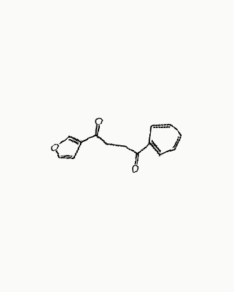 O=C(CCC(=O)c1ccoc1)c1ccccc1